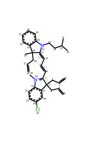 C=CCC1(CC=C)C(/C=C/C=C2/N(CCC(C)C)c3ccccc3C2(C)CC=C)=[N+](C)c2ccc(Cl)cc21